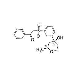 C[C@H]1C[C@](O)(c2cccc(S(=O)(=O)CC(=O)c3ccccc3)c2)CCO1